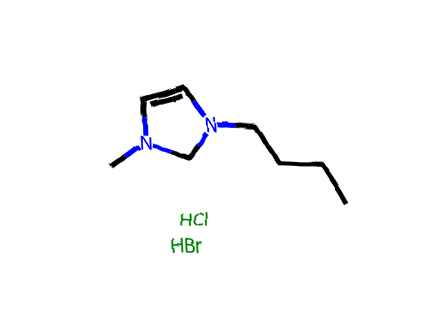 Br.CCCCN1C=CN(C)C1.Cl